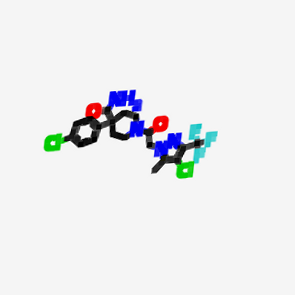 Cc1c(Cl)c(C(F)(F)F)nn1CC(=O)N1CCC(C(N)=O)(c2ccc(Cl)cc2)CC1